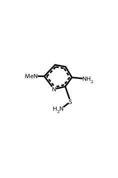 CNc1ccc(N)c(SN)n1